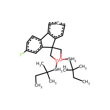 CCC(C)(C)[SiH2]OCC1(CO[SiH2]C(C)(C)CC)c2ccccc2-c2ccc(F)cc21